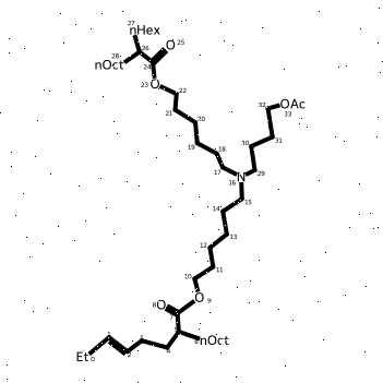 CC/C=C/CCC(CCCCCCCC)C(=O)OCCCCCCN(CCCCCCOC(=O)C(CCCCCC)CCCCCCCC)CCCCOC(C)=O